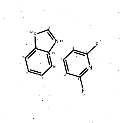 Fc1cccc(F)n1.c1ccc2scnc2c1